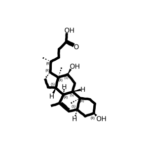 CC1=C[C@@H]2C[C@H](O)CC[C@]2(C)[C@H]2C[C@H](O)[C@]3(C)[C@@H]([C@H](C)CCC(=O)O)CC[C@H]3[C@H]12